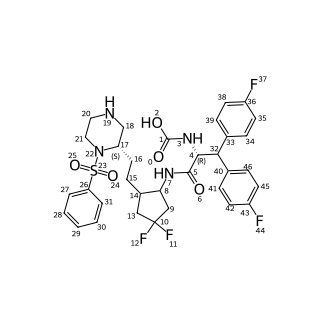 O=C(O)N[C@@H](C(=O)NC1CC(F)(F)CC1CC[C@H]1CNCCN1S(=O)(=O)c1ccccc1)C(c1ccc(F)cc1)c1ccc(F)cc1